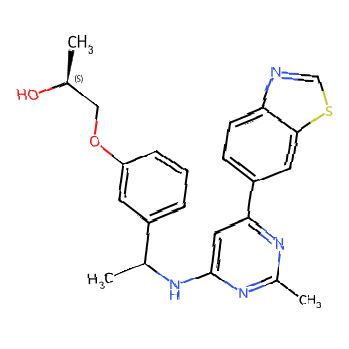 Cc1nc(NC(C)c2cccc(OC[C@H](C)O)c2)cc(-c2ccc3ncsc3c2)n1